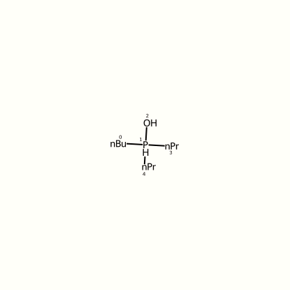 CCCC[PH](O)(CCC)CCC